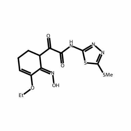 CCOC1=CCCC(C(=O)C(=O)Nc2nnc(SC)s2)C1=NO